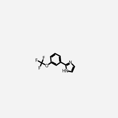 FC(F)(F)Oc1cccc(-c2ncc[nH]2)c1